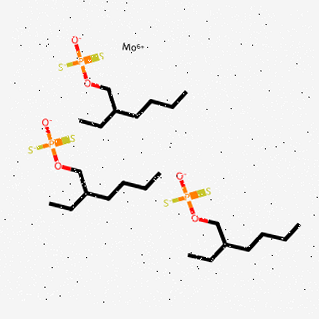 CCCCC(CC)COP([O-])(=S)[S-].CCCCC(CC)COP([O-])(=S)[S-].CCCCC(CC)COP([O-])(=S)[S-].[Mo+6]